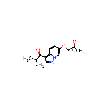 CC(C)C(=O)c1cnn2cc(OC[C@H](C)O)ccc12